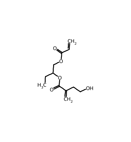 C=CC(=O)OCC(CC)OC(=O)C(=C)CCO